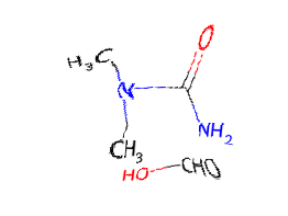 CN(C)C(N)=O.O=CO